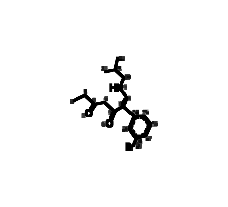 CCC(=O)CC(=O)C(=CNCC(C)C)c1cccc(Br)c1